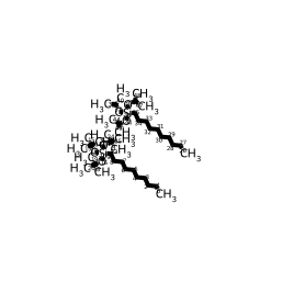 CCCCCCCCCC[Si](OC(C)(C)C)(OC(C)(C)C)OC(C)(C)C.CCCCCCCCCC[Si](OC(C)C)(OC(C)C)OC(C)C